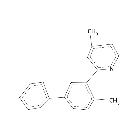 Cc1ccnc(-c2cc(-c3ccccc3)ccc2C)c1